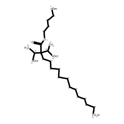 CCCCCCCCCCCCCCOC(=O)C(CCCCCCCCCCCCC(=O)O)(C(C)CCCCCCCC)C(C)CCCCCCCC